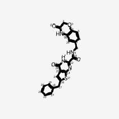 O=C1COc2ccc(CNC(=O)c3nc4sc(Cc5ccccc5)cc4c(=O)[nH]3)cc2N1